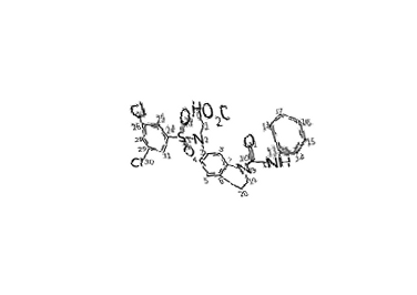 O=C(O)CN(c1ccc2c(c1)N(C(=O)Nc1ccccc1)CC2)S(=O)(=O)c1cc(Cl)cc(Cl)c1